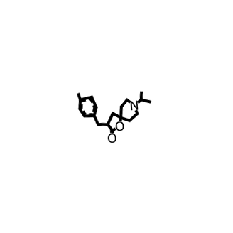 Cc1ccc(CC2CC3(CCN(C(C)C)CC3)OC2=O)cc1